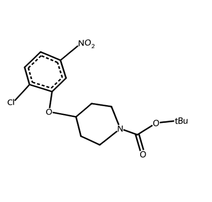 CC(C)(C)OC(=O)N1CCC(Oc2cc([N+](=O)[O-])ccc2Cl)CC1